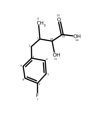 CC(Cc1ccc(F)cc1)C(O)C(=O)O